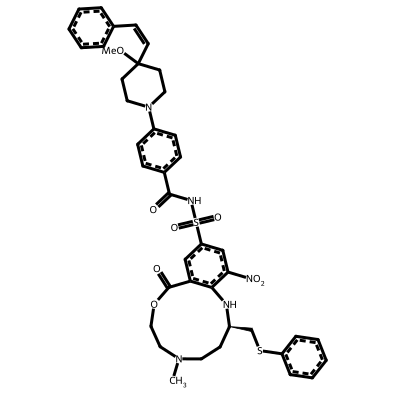 COC1(/C=C\c2ccccc2)CCN(c2ccc(C(=O)NS(=O)(=O)c3cc4c(c([N+](=O)[O-])c3)N[C@@H](CSc3ccccc3)CCN(C)CCOC4=O)cc2)CC1